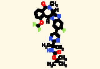 CN1C(=O)c2cccc(OC(F)F)c2[C@@H]2C[C@H]1c1nc3cc(F)c(-c4cnc(C(C)(C)NC(=O)OC(C)(C)C)nc4)cc3n12